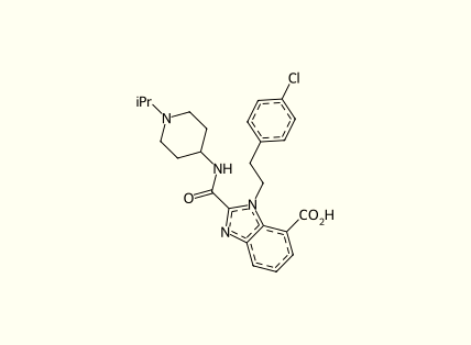 CC(C)N1CCC(NC(=O)c2nc3cccc(C(=O)O)c3n2CCc2ccc(Cl)cc2)CC1